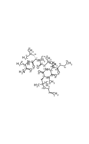 C=CCOC(C)(C)C[C@@H](C(=O)N[C@H](C(=O)N(C)[C@@H](CC(C)C)C(=O)N[C@H](C)C(N)=O)C(C)C)N(C)C(=O)CN(C)C(=O)CCC